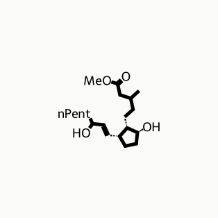 CCCCCC(O)C=C[C@H]1CC[C@@H](O)[C@H]1CCC(C)CC(=O)OC